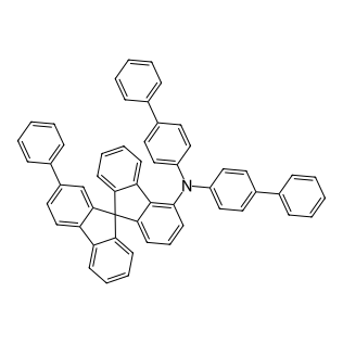 c1ccc(-c2ccc(N(c3ccc(-c4ccccc4)cc3)c3cccc4c3-c3ccccc3C43c4ccccc4-c4ccc(-c5ccccc5)cc43)cc2)cc1